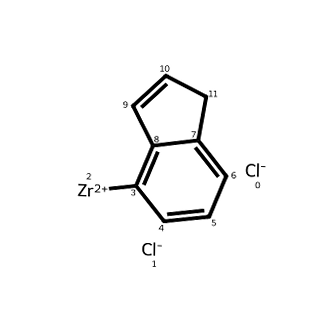 [Cl-].[Cl-].[Zr+2][c]1cccc2c1C=CC2